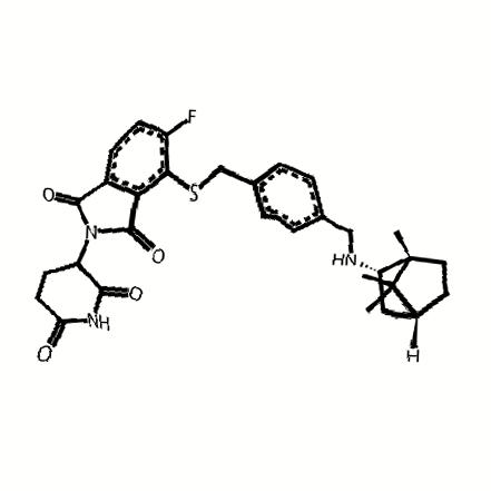 CC1(C)[C@@H]2CC[C@@]1(C)[C@@H](NCc1ccc(CSc3c(F)ccc4c3C(=O)N(C3CCC(=O)NC3=O)C4=O)cc1)C2